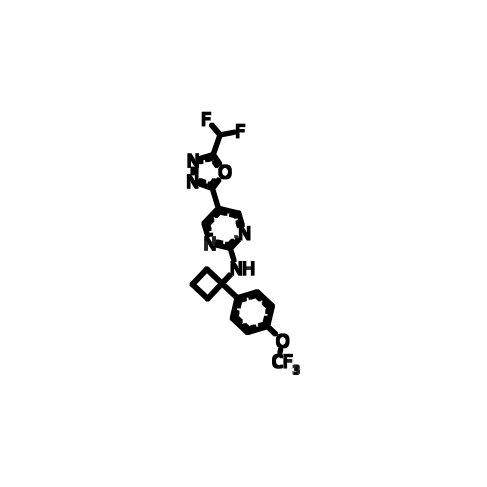 FC(F)c1nnc(-c2cnc(NC3(c4ccc(OC(F)(F)F)cc4)CCC3)nc2)o1